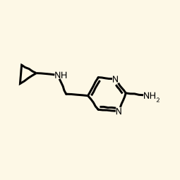 Nc1ncc(CNC2CC2)cn1